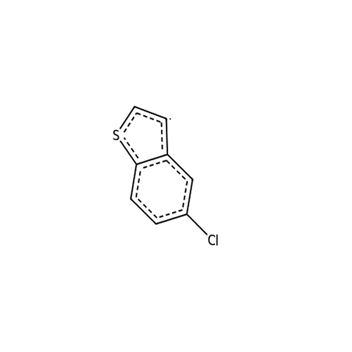 Clc1ccc2sc[c]c2c1